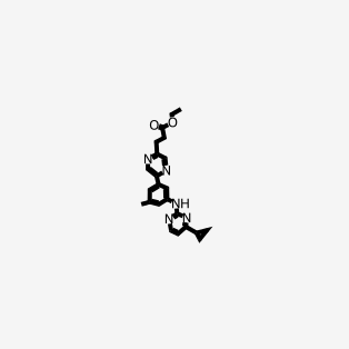 CCOC(=O)CCc1cnc(-c2cc(C)cc(Nc3nccc(C4CC4)n3)c2)cn1